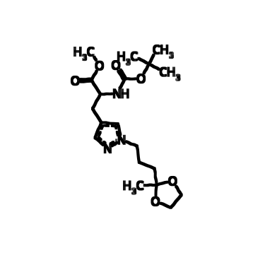 COC(=O)C(Cc1cnn(CCCC2(C)OCCO2)c1)NC(=O)OC(C)(C)C